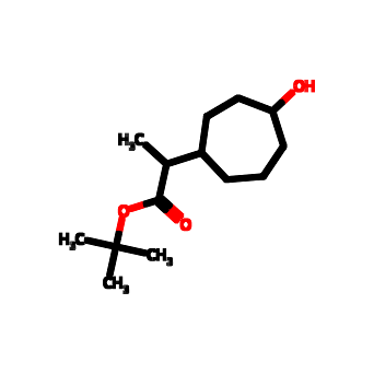 CC(C(=O)OC(C)(C)C)C1CCCC(O)CC1